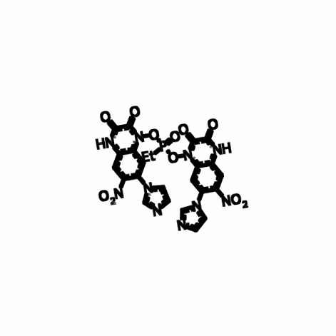 CCP(=O)(On1c(=O)c(=O)[nH]c2cc([N+](=O)[O-])c(-n3ccnc3)cc21)On1c(=O)c(=O)[nH]c2cc([N+](=O)[O-])c(-n3ccnc3)cc21